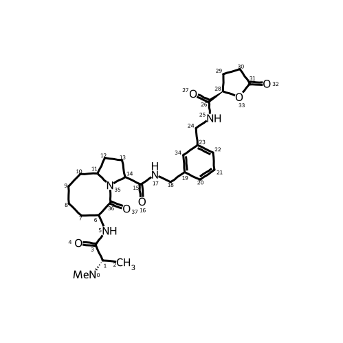 CN[C@@H](C)C(=O)NC1CCCCC2CCC(C(=O)NCc3cccc(CNC(=O)[C@H]4CCC(=O)O4)c3)N2C1=O